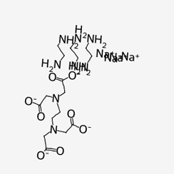 NCCN.NCCN.NCCN.O=C([O-])CN(CCN(CC(=O)[O-])CC(=O)[O-])CC(=O)[O-].[Na+].[Na+].[Na+].[Na+]